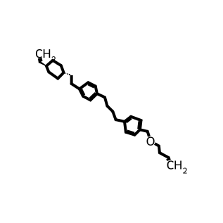 C=CCCOCc1ccc(CCCCc2ccc(CC[C@H]3CC[C@H](C=C)CC3)cc2)cc1